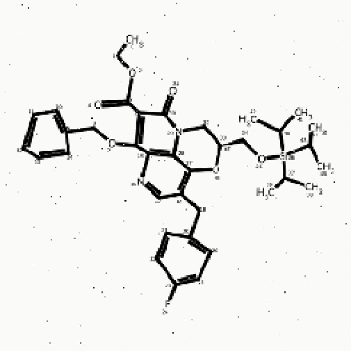 CCOC(=O)c1c(OCc2ccccc2)c2ncc(Cc3ccc(F)cc3)c3c2n(c1=O)C[C@@H](CO[Si](C(C)C)(C(C)C)C(C)C)O3